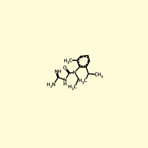 CCN(C(=O)NC(=N)N)c1c(C)cccc1C(C)C